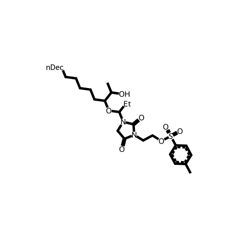 CCCCCCCCCCCCCCCC(OC(CC)N1CC(=O)N(CCOS(=O)(=O)c2ccc(C)cc2)C1=O)C(C)O